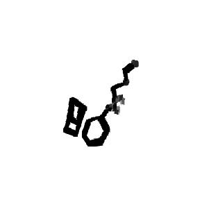 CCOC=O.Nc1ccccc1.c1cc2ccc1-2